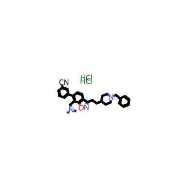 CN(C)Cc1c(-c2cccc(C#N)c2)ccc2c(CCC3CCN(Cc4ccccc4)CC3)noc12.Cl.Cl